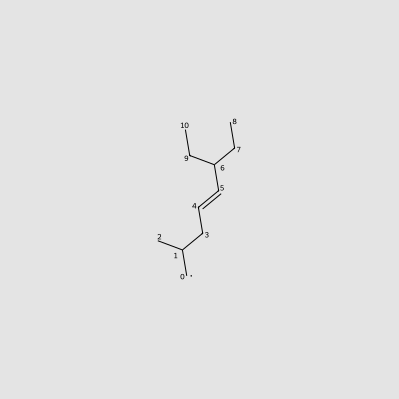 [CH2]C(C)C/C=C/C(CC)CC